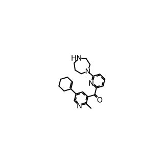 Cc1ncc(C2=CCCCC2)cc1C(=O)c1cccc(N2CCCNCC2)n1